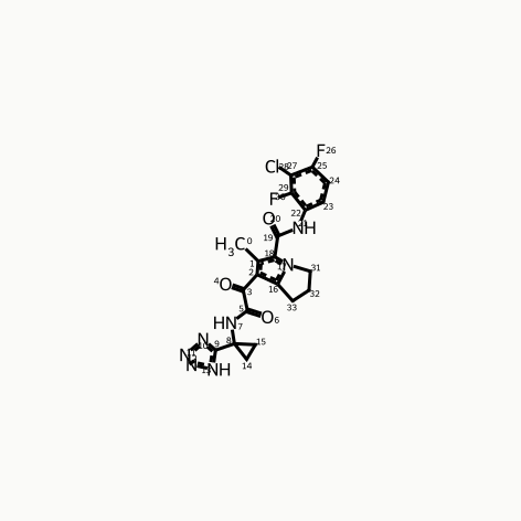 Cc1c(C(=O)C(=O)NC2(c3nnn[nH]3)CC2)c2n(c1C(=O)Nc1ccc(F)c(Cl)c1F)CCC2